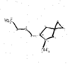 CN1CC2(CC2)C[C@H]1COCC(=O)O